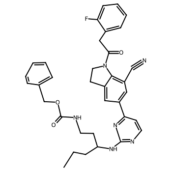 CCCC(CCNC(=O)OCc1ccccc1)Nc1nccc(-c2cc(C#N)c3c(c2)CCN3C(=O)Cc2ccccc2F)n1